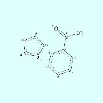 O=[N+]([O-])c1ccccc1.c1cnsc1